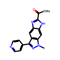 COC(=O)c1nc2cc3c(-c4ccncc4)nn(I)c3cc2[nH]1